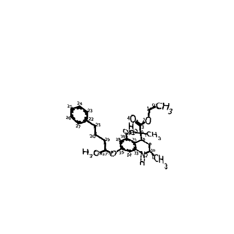 CCOC(=O)C(C)(C)C1CC(C)Nc2cc(OC(C)CCCc3ccccc3)cc(O)c21